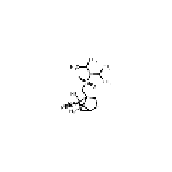 CC(C)N(C(C)C)S(=O)(=O)CC12CCC(CC1(S)C#N)C2(C)C